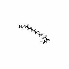 CC(N)COCCOCCOCCCN